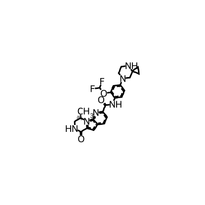 C[C@@H]1CNC(=O)c2cc3ccc(C(=O)Nc4ccc(N5CCNC6(CC6)C5)cc4OC(F)F)nc3n21